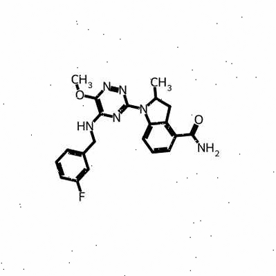 COc1nnc(N2c3cccc(C(N)=O)c3CC2C)nc1NCc1cccc(F)c1